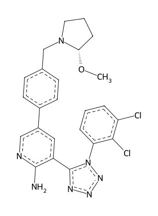 CO[C@H]1CCCN1Cc1ccc(-c2cnc(N)c(-c3nnnn3-c3cccc(Cl)c3Cl)c2)cc1